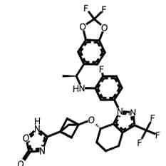 C[C@H](Nc1cc(-n2nc(C(F)(F)F)c3c2[C@@H](OC24CC(c5nc(=O)o[nH]5)(C2)C4)CCC3)ccc1F)c1ccc2c(c1)OC(F)(F)O2